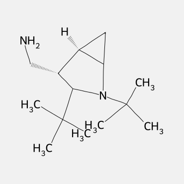 CC(C)(C)C1[C@H](CN)[C@H]2CC2N1C(C)(C)C